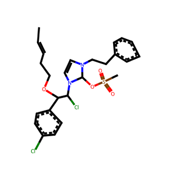 CC=CCCOC(c1ccc(Cl)cc1)C(Cl)N1C=CN(CCc2ccccc2)C1OS(C)(=O)=O